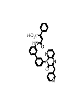 O=C(/C=C(\C(=O)O)c1ccccc1)Nc1cccc(-c2cccc(-n3c(=O)c(Cc4cccnc4)nc4cccnc43)c2)c1